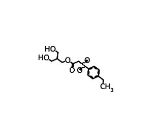 CCc1ccc(S(=O)(=O)CC(=O)OCC(CO)CO)cc1